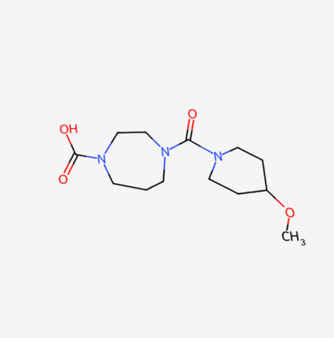 COC1CCN(C(=O)N2CCCN(C(=O)O)CC2)CC1